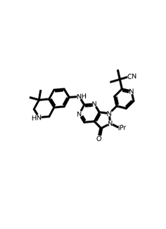 CC(C)n1c(=O)c2cnc(Nc3ccc4c(c3)CNCC4(C)C)nc2n1-c1ccnc(C(C)(C)C#N)c1